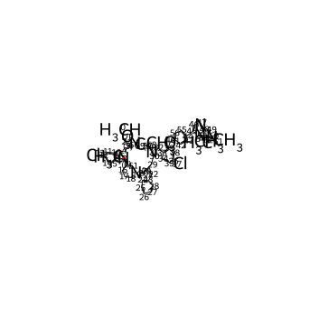 COC[C@@H]1CN(C)[C@@]2(Cc3ccc(Cl)cc3)CCCN(C[C@H](Cc3ccccc3)CCN(Cc3ccc(Cl)cc3Oc3ccc(-c4cnc(CN(C)C)n4C)cc3)[C@@H](C)CN1)C2